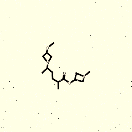 COC1CN(C(C)CCC(C)C(=O)OC2CN(C)C2)C1